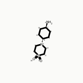 N[C@H]1CC[C@H](N2CCS(=O)(=O)CC2)CC1